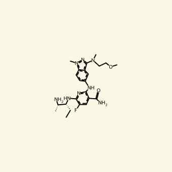 CC[C@@H](Nc1nc(Nc2ccc3c(c2)c(N(C)CCOC)nn3C)c(C(N)=O)cc1F)[C@H](C)N